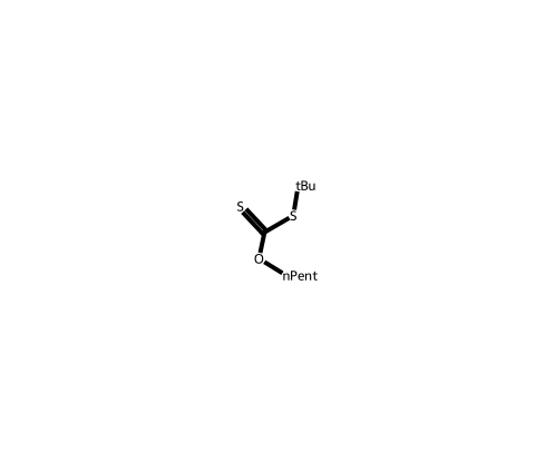 CCCCCOC(=S)SC(C)(C)C